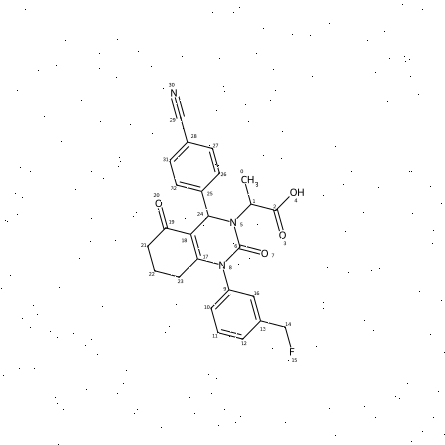 CC(C(=O)O)N1C(=O)N(c2cccc(CF)c2)C2=C(C(=O)CCC2)C1c1ccc(C#N)cc1